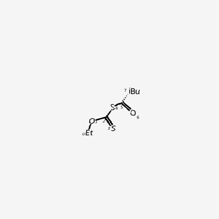 CCOC(=S)SC(=O)[C@@H](C)CC